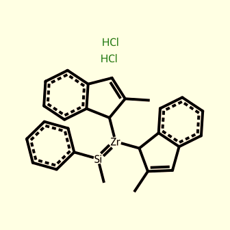 CC1=Cc2ccccc2[CH]1[Zr]([CH]1C(C)=Cc2ccccc21)=[Si](C)c1ccccc1.Cl.Cl